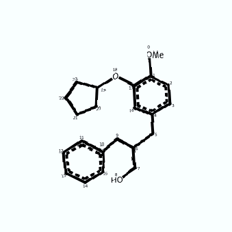 COc1ccc(CC(CO)Cc2ccccc2)cc1OC1CCCC1